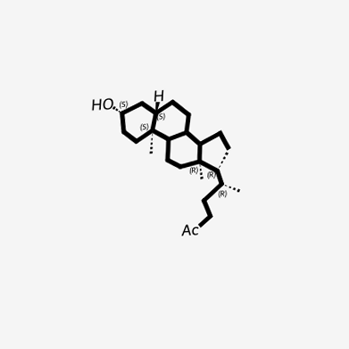 CC(=O)CC[C@@H](C)[C@H]1CCC2C3CC[C@H]4C[C@@H](O)CC[C@]4(C)C3CC[C@@]21C